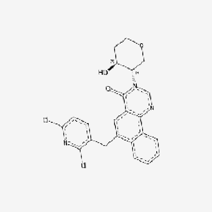 O=c1c2cc(Cc3ccc(Cl)nc3Cl)c3ccccc3c2ncn1[C@H]1COCC[C@@H]1O